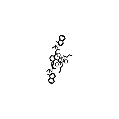 CCCCn1c(O)c(C2=C(/C=C/C(C)=[N+](\CC)c3ccc4ccccc4c3C)CCC/C2=C\C=C(/C)N(CC)c2ccc3ccccc3c2C)c(=O)n(CCCC)c1=O